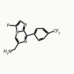 NCc1cn2c(F)cnc2c(-c2ccc(C(F)(F)F)cc2)n1